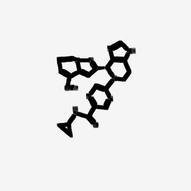 COc1cccn2nc([C@@H]3c4nc[nH]c4CCN3c3cnc(C(=O)NC4CC4)cn3)cc12